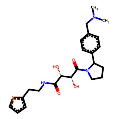 CN(C)Cc1ccc(C2CCCN2C(=O)[C@H](O)[C@@H](O)C(=O)NCCc2cccs2)cc1